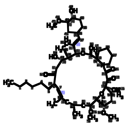 CCCCCC[C@@H]1/C=C(\C)C[C@H](C)C[C@H](OC)[C@H]2O[C@@](O)(C(=O)C(=O)N3CCCC[C@H]3C(=O)O[C@H](/C(C)=C/[C@@H]3CC[C@@H](O)[C@H](OC)C3)[C@H](C)[C@@H](O)CC1=O)[C@H](C)C[C@@H]2OC